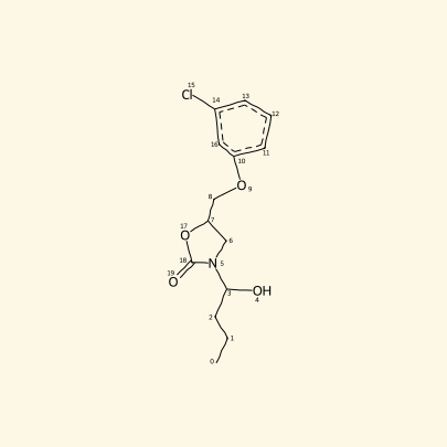 CCCC(O)N1CC(COc2cccc(Cl)c2)OC1=O